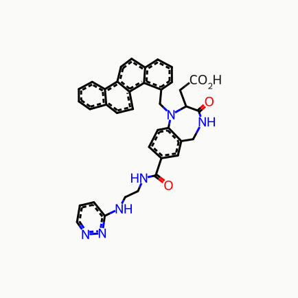 O=C(O)CC1C(=O)NCc2cc(C(=O)NCCNc3cccnn3)ccc2N1Cc1cccc2ccc3c4ccccc4ccc3c12